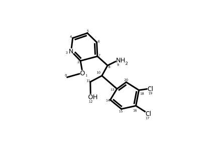 COc1ncccc1C(N)C(CO)c1ccc(Cl)c(Cl)c1